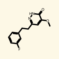 COc1cc(CCc2cccc(F)c2)n[nH]c1=O